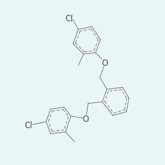 Cc1cc(Cl)ccc1OCc1ccccc1COc1ccc(Cl)cc1C